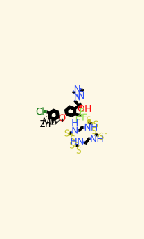 CC(O)(Cn1cncn1)c1ccc(Oc2ccc(Cl)cc2)cc1C(F)(F)F.S=C([S-])NCCNC(=S)[S-].S=C([S-])NCCNC(=S)[S-].[Mn+2].[Zn+2]